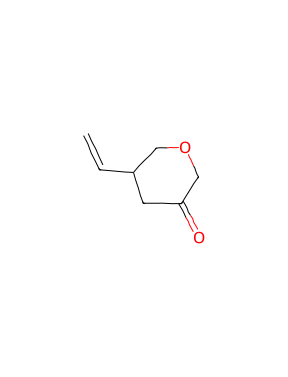 C=CC1COCC(=O)C1